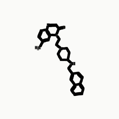 Cc1ccc2ncc(=O)n(CCN3CCC(NCc4ccc5ccccc5c4)CC3)c2c1